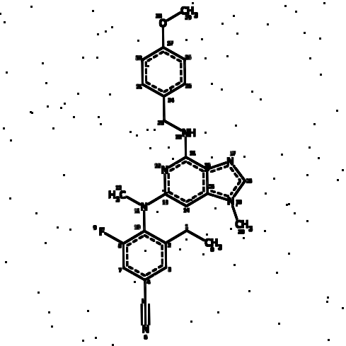 CCc1cc(C#N)cc(F)c1N(C)c1cc2c(ncn2C)c(NCc2ccc(OC)cc2)n1